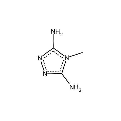 Cn1c(N)nnc1N